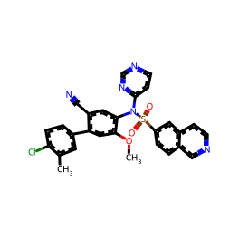 COc1cc(-c2ccc(Cl)c(C)c2)c(C#N)cc1N(c1ccncn1)S(=O)(=O)c1ccc2cnccc2c1